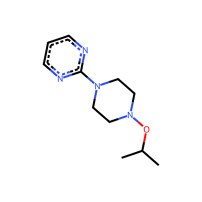 CC(C)ON1CCN(c2ncccn2)CC1